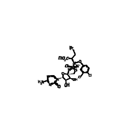 CCOC(=O)C(CC(C)C)N(Oc1ccc(Cl)c(Cl)c1)[PH](=O)OC[C@@]1(N=[N+]=[N-])O[C@@H](n2ccc(N)nc2=O)[C@H](O)[C@@H]1O